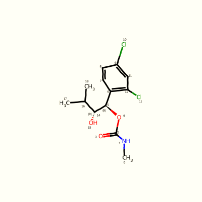 CNC(=O)O[C@H](c1ccc(Cl)cc1Cl)[C@H](O)C(C)C